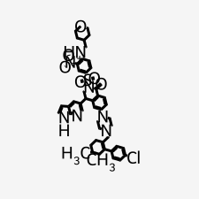 CC1(C)CCC(CN2CCN(c3ccc4c(c3)C(c3cnc5[nH]ccc5c3)CN(S(=O)(=O)c3ccc(NCC5CCOCC5)c([N+](=O)[O-])c3)C4=O)CC2)=C(c2ccc(Cl)cc2)C1